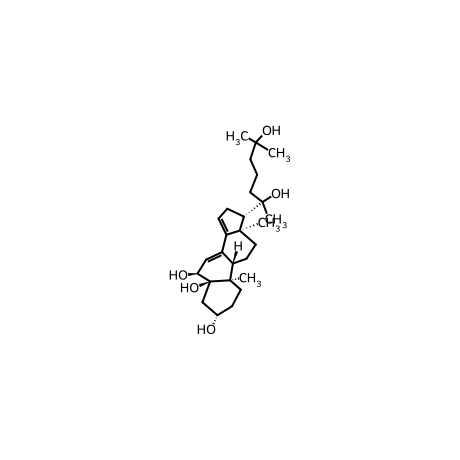 CC(C)(O)CCCC(C)(O)[C@H]1CC=C2C3=C[C@H](O)[C@@]4(O)C[C@@H](O)CC[C@]4(C)[C@H]3CC[C@@]21C